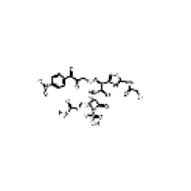 NC(=O)OC[C@@H]1[C@H](NC(=O)/C(=N\OCC(=O)C(=O)c2ccc([N+](=O)[O-])cc2)c2csc(NC(=O)CCl)n2)C(=O)N1S(=O)(=O)O